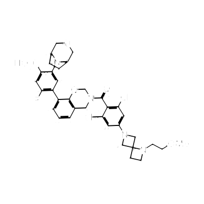 COCCN1CCC12CN(c1cc(Cl)c(C(=O)N3COc4c(cccc4-c4cc(N5C6CCC5COC6)c(C(=O)O)cc4F)C3)c(Cl)c1)C2